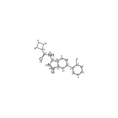 Cc1ccccc1-c1ccc2c(NC(=O)C3CCC3)n[nH]c2c1